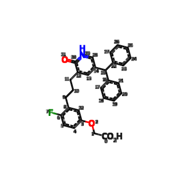 O=C(O)COc1ccc(F)c(CCCc2cc(C(c3ccccc3)c3ccccc3)c[nH]c2=O)c1